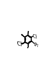 Cc1c(C)c(Cl)c(C(C)C)c(C)c1Cl